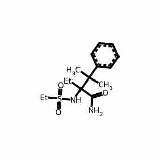 CCC(NS(=O)(=O)CC)(C(N)=O)C(C)(C)c1ccccc1